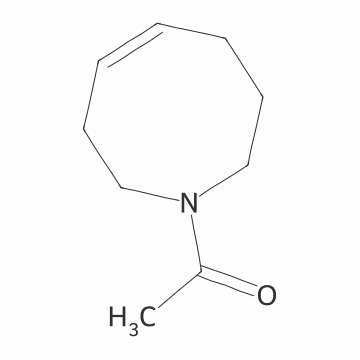 CC(=O)N1CC/C=C\CCC1